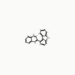 c1ccc2nc(-c3nccc4sc5ccccc5c34)cnc2c1